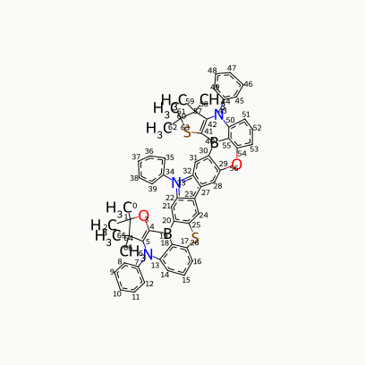 CC1(C)OC2=C(N(c3ccccc3)c3cccc4c3B2c2cc3c(cc2S4)c2cc4c(cc2n3-c2ccccc2)B2C3=C(N(c5ccccc5)c5cccc(c52)O4)C(C)(C)C(C)(C)S3)C1(C)C